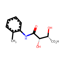 Cc1ccccc1NC(=O)[C@@H](O)[C@H](O)C(=O)O